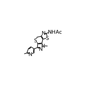 CC(=O)Nc1nc2c(s1)-c1c(c(-c3ccc(C)nc3)nn1C)SC2